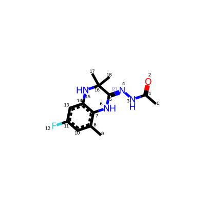 CC(=O)N/N=C1\Nc2c(C)cc(F)cc2NC1(C)C